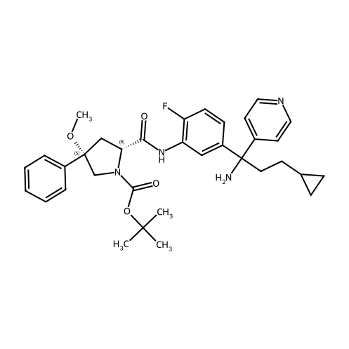 CO[C@]1(c2ccccc2)C[C@H](C(=O)Nc2cc(C(N)(CCC3CC3)c3ccncc3)ccc2F)N(C(=O)OC(C)(C)C)C1